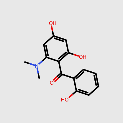 CN(C)c1cc(O)cc(O)c1C(=O)c1ccccc1O